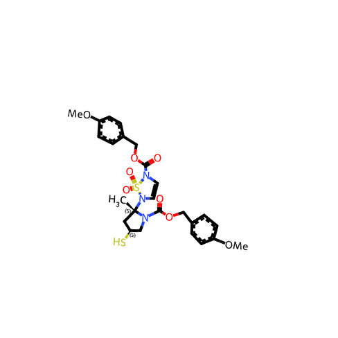 COc1ccc(COC(=O)N2C[C@@H](S)C[C@]2(C)N2C=CN(C(=O)OCc3ccc(OC)cc3)S2(=O)=O)cc1